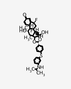 CC(C)Nc1cccc(Sc2ccc([C@H]3O[C@@H]4C[C@H]5[C@@H]6C[C@H](F)C7=CC(=O)C=C[C@]7(C)[C@@]6(F)[C@@H](O)C[C@]5(C)[C@]4(C(=O)CO)O3)cc2)c1